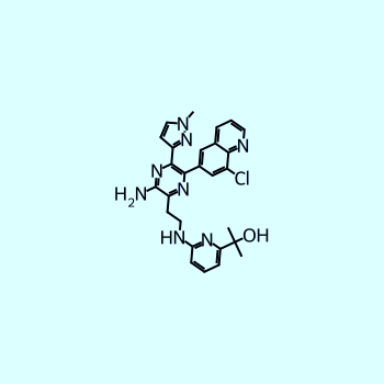 Cn1ccc(-c2nc(N)c(CCNc3cccc(C(C)(C)O)n3)nc2-c2cc(Cl)c3ncccc3c2)n1